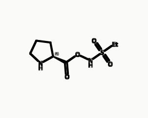 CCS(=O)(=O)NOC(=O)[C@@H]1CCCN1